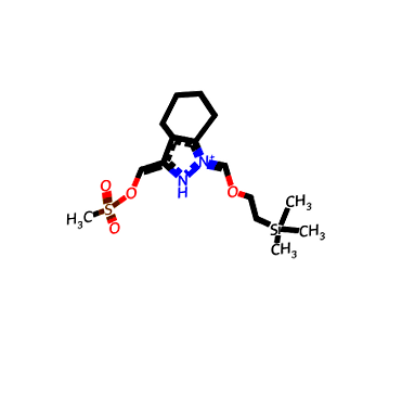 C[Si](C)(C)CCOC=[n+]1[nH]c(=COS(C)(=O)=O)c2c1CCCC2